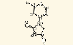 Cc1cccc(N2CC(=O)[N]C2=O)c1